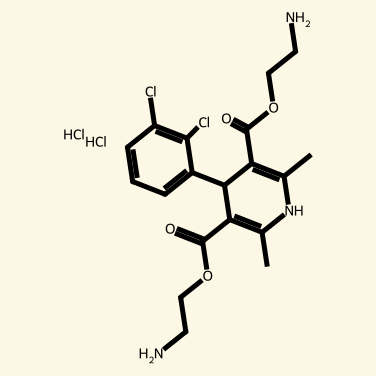 CC1=C(C(=O)OCCN)C(c2cccc(Cl)c2Cl)C(C(=O)OCCN)=C(C)N1.Cl.Cl